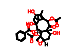 CC(=O)O[C@H]1C(=O)[C@@]2(C)[C@H]([C@H](OC(=O)c3ccccc3)[C@]3(O)C[C@@H](O)C(C)=C1C3(C)C)[C@]1(OC(C)=O)CO[C@@H]1C[C@@H]2O